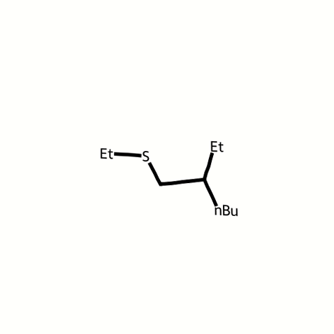 CCCCC(CC)CSCC